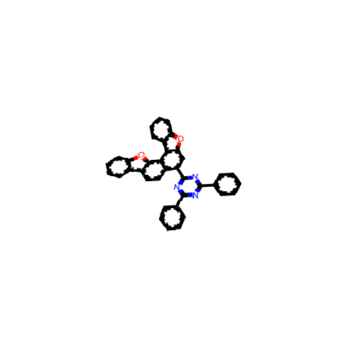 c1ccc(-c2nc(-c3ccccc3)nc(-c3cc4oc5ccccc5c4c4c3ccc3c5ccccc5oc34)n2)cc1